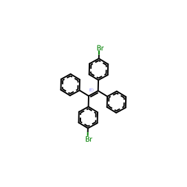 Brc1ccc(/C(=C(\c2ccccc2)c2ccc(Br)cc2)c2ccccc2)cc1